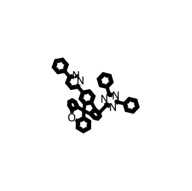 c1ccc(-c2ccc(-c3ccc4c(c3)C3(c5ccccc5Oc5ccccc53)c3cccc(-c5nc(-c6ccccc6)nc(-c6ccccc6)n5)c3-4)nn2)cc1